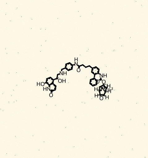 C[N+]1(C)[C@@H]2CC(OC(=O)Nc3ccc(CCCC(=O)Nc4ccc(CNC[C@H](O)c5ccc(O)c6[nH]c(=O)ccc56)cc4)cc3-c3ccccc3)C[C@H]1[C@@H]1O[C@@H]12